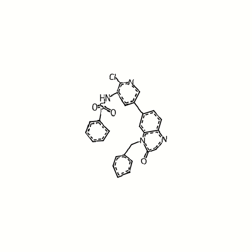 O=c1cnc2ccc(-c3cnc(Cl)c(NS(=O)(=O)c4ccccc4)c3)cc2n1Cc1ccccc1